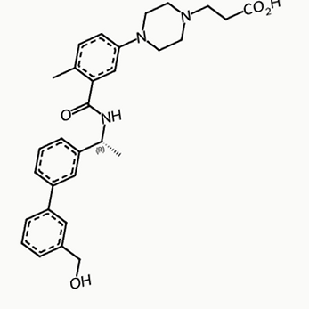 Cc1ccc(N2CCN(CCC(=O)O)CC2)cc1C(=O)N[C@H](C)c1cccc(-c2cccc(CO)c2)c1